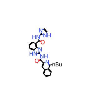 CCCCc1nc(C(=O)Nc2nc3c(C(=O)Nc4ncc[nH]4)cccc3[nH]2)cc2ccccc12